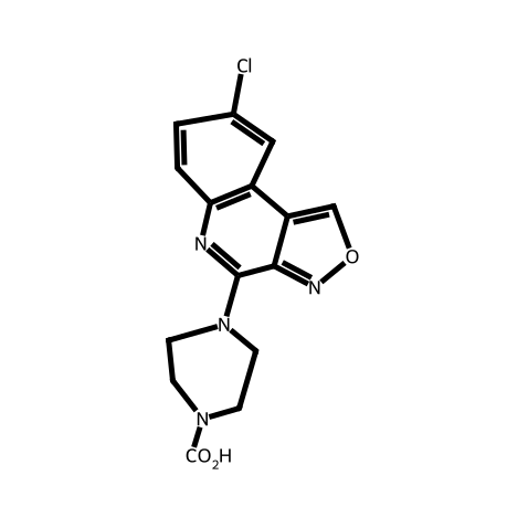 O=C(O)N1CCN(c2nc3ccc(Cl)cc3c3conc23)CC1